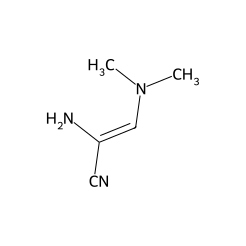 CN(C)C=C(N)C#N